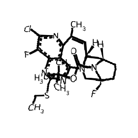 CCSc1nc2c3c(nc(Cl)c(F)c3n1)C(C)=C[C@@H]1[C@@H]3CC[C@](F)(CN21)N3C(=O)OC(C)(C)C